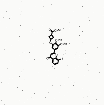 COC(=O)C1CC(Oc2cc(-c3cc(=O)c4cccc(Cl)c4o3)cc(OC)c2OC)C1